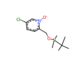 CC(C)(C)[Si](C)(C)OCc1ccc(Cl)c[n+]1[O-]